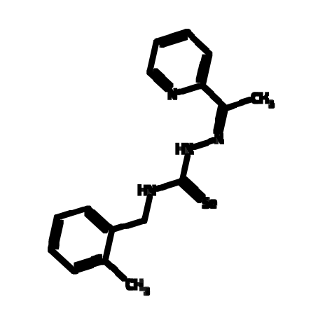 CC(=NNC(=[Se])NCc1ccccc1C)c1ccccn1